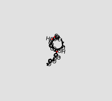 CCC1/C=C(\C)CC(C)CC(OC)C2OC(O)(C(=O)C(=O)N3CCCCC3C(=O)OC(C(C)=CC3CCC(OCC(=O)c4cccc(OC(C)C)c4)C(OC)C3)C(C)C(O)CC1=O)C(C)CC2OC